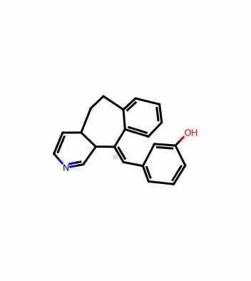 Oc1cccc(/C=C2\c3ccccc3CCC3C=CN=CC23)c1